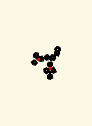 c1ccc(-c2c3ccccc3c(-c3ccc(-n4c5ccc(-c6ccc7ccccc7c6)cc5c5ccc(-c6ccc7c(c6)c6ccccc6n7-c6ccccc6)cc54)cc3)c3ccccc23)cc1